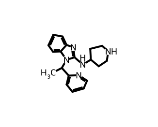 CC(c1ccccn1)n1c(NC2CCNCC2)nc2ccccc21